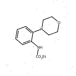 CCOC(=O)Nc1ccccc1N1CCOCC1